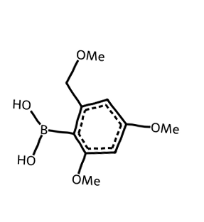 COCc1cc(OC)cc(OC)c1B(O)O